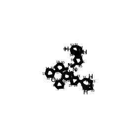 C1=Cc2c(c3ccccc3oc3ccccc3c3cccc(-c4nc(-c5cccc(C67C[C@@H]8CC9C[C@H](C6)[C@@]9(C8)C7)c5)nc(-c5cccc(C67CC8C[C@H](C6)C[C@@H](C8)C7)c5)n4)c23)CC1